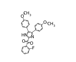 COc1ccc(-c2nc(S(=O)(=O)c3ccccc3F)[nH]c2-c2ccc(OC)cc2)cc1